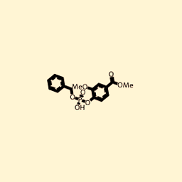 COC(=O)c1ccc(OP(=O)(O)OCc2ccccc2)c(OC)c1